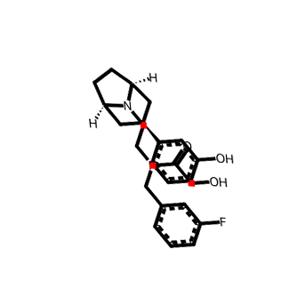 O=C(CO)N(CCN1[C@@H]2CC[C@H]1C[C@@H](c1cccc(O)c1)C2)Cc1cccc(F)c1